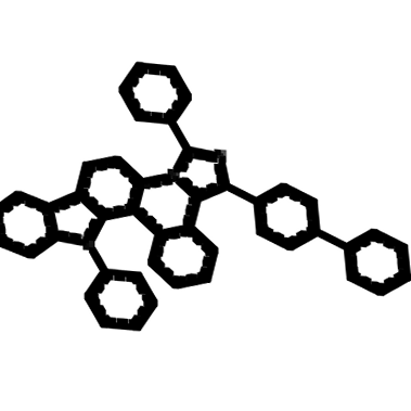 c1ccc(-c2ccc(-c3nc(-c4ccccc4)n4c5ccc6c7ccccc7n(-c7ccccc7)c6c5c5ccccc5c34)cc2)cc1